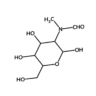 CN(C=O)C1C(O)OC(CO)C(O)C1O